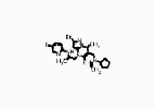 C=CN(CC1=C(C)N(CC(=C)Nc2ccc(F)cn2)c2cc(CC)nn2C1=C)C1CCCC1